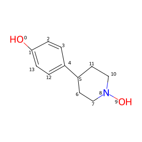 Oc1ccc(C2CCN(O)CC2)cc1